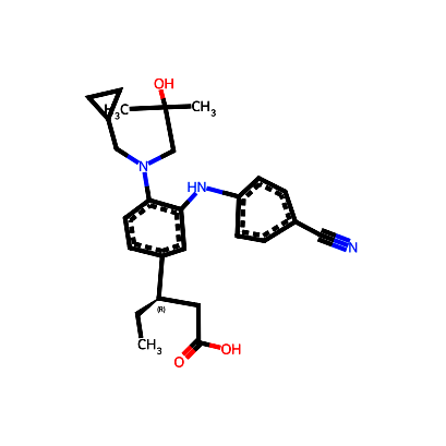 CC[C@H](CC(=O)O)c1ccc(N(CC2CC2)CC(C)(C)O)c(Nc2ccc(C#N)cc2)c1